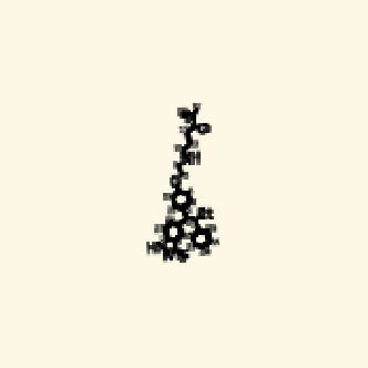 CCC(=C(c1ccc(OCCNCC=CC(=O)N(C)C)cc1)c1ccc2[nH]nc(F)c2c1)c1ccccc1